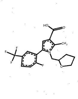 Cc1c(C(=O)O)cc(-c2cc(C(F)(F)F)ccc2F)n1CC1CCCO1